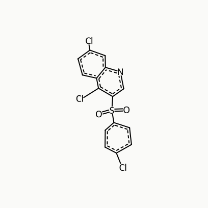 O=S(=O)(c1ccc(Cl)cc1)c1cnc2cc(Cl)ccc2c1Cl